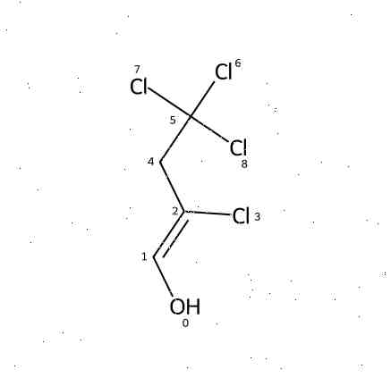 O/C=C(\Cl)CC(Cl)(Cl)Cl